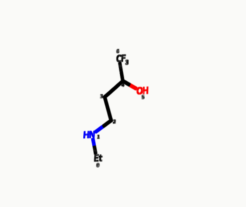 CCNCCC(O)C(F)(F)F